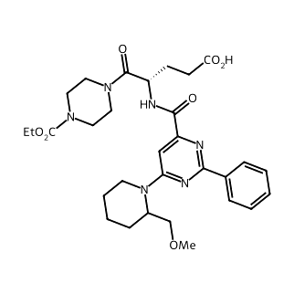 CCOC(=O)N1CCN(C(=O)[C@H](CCC(=O)O)NC(=O)c2cc(N3CCCCC3COC)nc(-c3ccccc3)n2)CC1